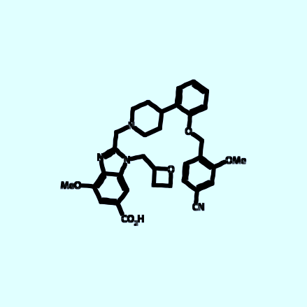 COc1cc(C#N)ccc1COc1ccccc1C1CCN(Cc2nc3c(OC)cc(C(=O)O)cc3n2CC2CCO2)CC1